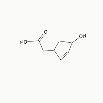 O=C(O)CC1C=CC(O)C1